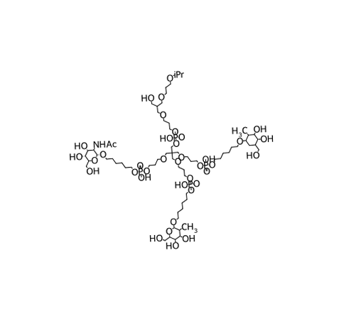 CC(=O)NC1[C@H](OCCCCCCOP(=O)(O)OCCCOCC(COCCCOP(=O)(O)OCCCCCCO[C@@H]2OC(CO)[C@H](O)[C@H](O)C2C)(COCCCOP(=O)(O)OCCCCCCO[C@@H]2CC(CO)[C@H](O)[C@H](O)C2C)COP(=O)(O)OCCCOCC(CO)COCCCOC(C)C)OC(CO)[C@H](O)[C@@H]1O